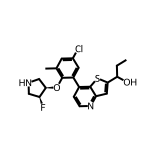 CCC(O)c1cc2nccc(-c3cc(Cl)cc(C)c3O[C@@H]3CNC[C@@H]3F)c2s1